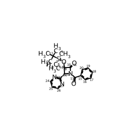 CC(C)(C)[Si](C)(C)O[C@@]1(C)C(=O)N(C(=O)c2ccccc2)[C@H]1c1ncccn1